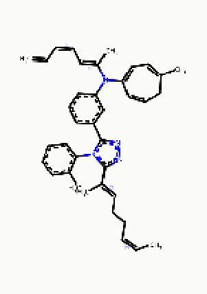 C=C/C=C\C=C(/C)N(C1=CC=C(C)CC=C1)c1cccc(-c2nnc(/C(C)=C/CC/C=C\C)n2-c2ccccc2C)c1